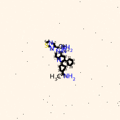 C=C(c1cn2ccsc2n1)n1ccc2nc(-c3ccc([C@@H](C)N)cc3)c(-c3ccccc3)cc2/c1=N/N